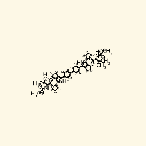 COC(=O)N[C@H](C(=O)N1CCC[C@H]1c1[nH]c(-c2ccc(-c3ccc(-c4[nH]c([C@@H]5CCCN5C(=O)[C@@H](NC(=O)OC)C(C)C)c5c4CCC5)cc3)cc2)c2c1CCC2)C(C)C